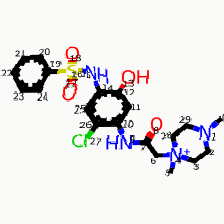 CN1CC[N+](C)(CC(=O)Nc2cc(O)c(NS(=O)(=O)c3ccccc3)cc2Cl)CC1